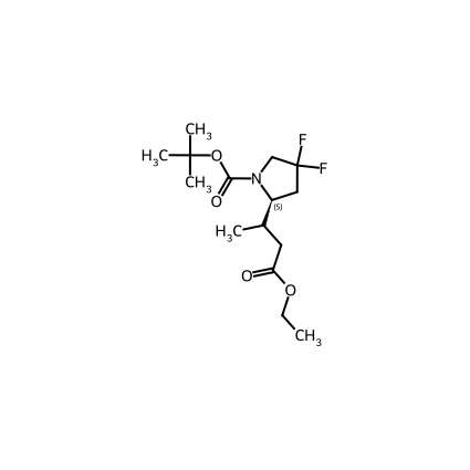 CCOC(=O)CC(C)[C@@H]1CC(F)(F)CN1C(=O)OC(C)(C)C